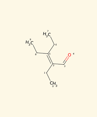 CCC(C=O)=C(CC)CC